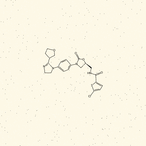 O=C(NC[C@H]1CN(c2ccc(N3CCN=C3C3CCOC3)cc2)C(=O)O1)c1ccc(Cl)s1